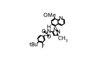 COc1ccc(-n2nc(C)cc2NS(=O)(=O)c2ccc(C(C)(C)C)c(F)c2)c2cccnc12